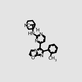 Cc1ccccc1-c1nc2occn2c1-c1ccnc(N[C@H]2CN3CCC2CC3)n1